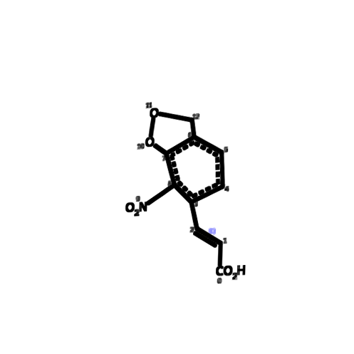 O=C(O)/C=C/c1ccc2c(c1[N+](=O)[O-])OOC2